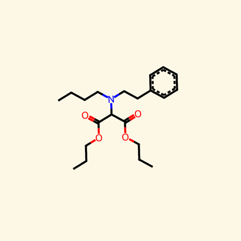 CCCCN(CCc1ccccc1)C(C(=O)OCCC)C(=O)OCCC